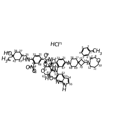 Cc1ccccc1[C@@H]1COCCCN1C1CC2(CCN(c3ccc(C(=O)NS(=O)(=O)c4ccc(NCC5CCC(C)(O)CC5)c([N+](=O)[O-])c4)c(N4c5cc6cc[nH]c6nc5O[C@H]5COCC[C@@H]54)c3)CC2)C1.Cl